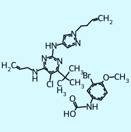 C=CCCn1cc(Nc2nc(NCC=C)c(Cl)c(C(C)(C)C)n2)cn1.COc1ccc(NC(=O)O)cc1Br